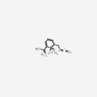 C=C(C)C1=CC=CC(CN=C=O)C1(C)C